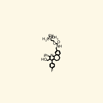 CC(C)c1nc2c(c(-c3ccc(F)cc3)c1CO)CCCc1ccc(CNC(=O)OCC[Si](C)(C)C)cc1-2